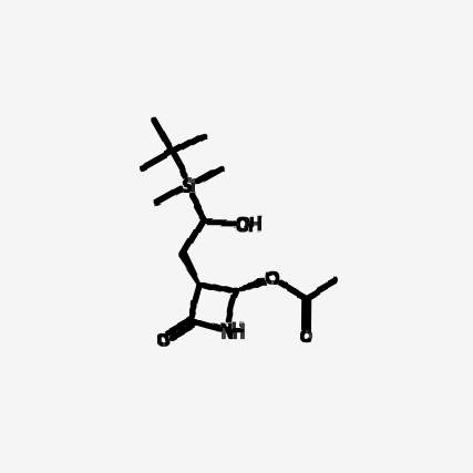 CC(=O)O[C@H]1NC(=O)[C@H]1CC(O)[Si](C)(C)C(C)(C)C